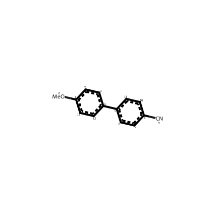 COc1ccc(-c2ccc(C#N)cc2)cc1